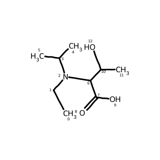 CCN(C(C)C)C(C(=O)O)C(C)O